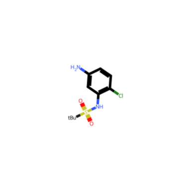 CC(C)(C)S(=O)(=O)Nc1cc(N)ccc1Cl